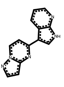 c1cnc2[nH]cc(-c3ccn4nccc4n3)c2c1